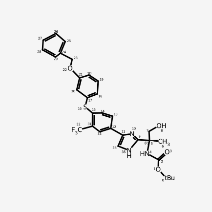 CC(C)(C)OC(=O)N[C@@](C)(CO)c1nc(-c2ccc(Sc3cccc(OCc4ccccc4)c3)c(C(F)(F)F)c2)c[nH]1